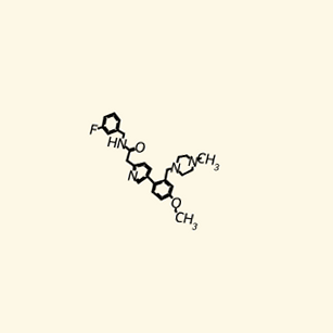 CCOc1ccc(-c2ccc(CC(=O)NCc3cccc(F)c3)nc2)c(CN2CCN(C)CC2)c1